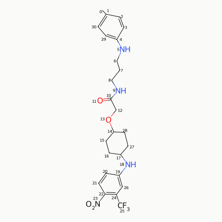 Cc1ccc(NCCCNC(=O)COC2CCC(Nc3ccc([N+](=O)[O-])c(C(F)(F)F)c3)CC2)cc1